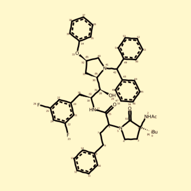 CC[C@@H](C)C1(NC(C)=O)CCN(C(CCc2ccccc2)C(=O)N[C@@H](Cc2cc(F)cc(F)c2)[C@H](O)[C@H]2C[C@@H](Oc3ccccc3)CN2C(c2ccccc2)c2ccccc2)C1=O